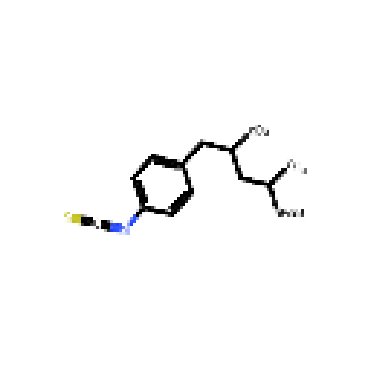 CCCCCC(C)CC(CCCC)Cc1ccc(N=C=S)cc1